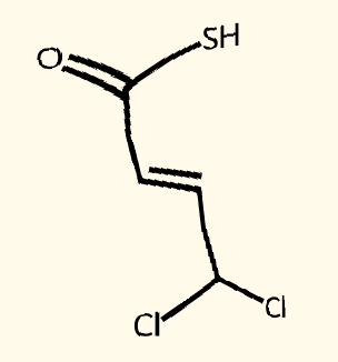 O=C(S)C=CC(Cl)Cl